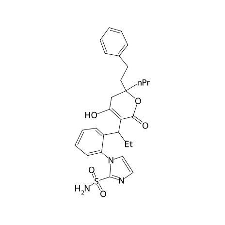 CCCC1(CCc2ccccc2)CC(O)=C(C(CC)c2ccccc2-n2ccnc2S(N)(=O)=O)C(=O)O1